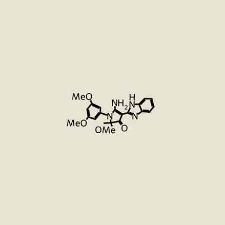 COc1cc(OC)cc(N2C(N)=C(c3nc4ccccc4[nH]3)C(=O)C2(C)OC)c1